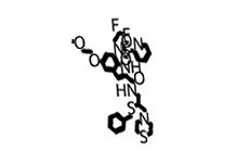 COCCOc1cc(N(CC(F)F)S(=O)(=O)c2ccccn2)c2[nH]c(C(=O)NCC(CN3CCSCC3)SCc3ccccc3)cc2c1